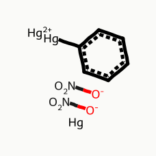 O=[N+]([O-])[O-].O=[N+]([O-])[O-].[Hg+2].[Hg].[Hg][c]1ccccc1